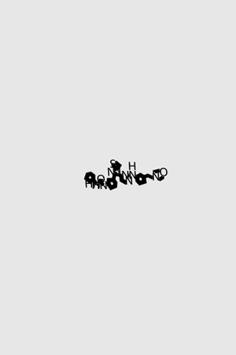 O=C(Nc1ccccc1)Nc1cccc(-c2nc3sccn3c2-c2ccnc(Nc3cccc(CCN4CCOCC4)c3)n2)c1